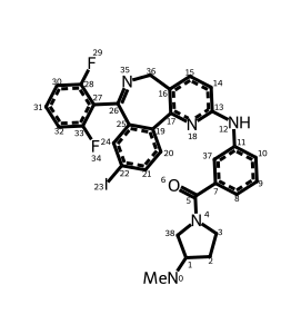 CNC1CCN(C(=O)c2cccc(Nc3ccc4c(n3)-c3ccc(I)cc3C(c3c(F)cccc3F)=NC4)c2)C1